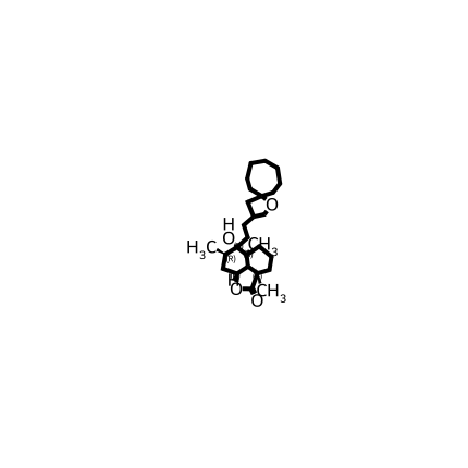 C[C@@H]1C[C@H]2OC(=O)[C@@]3(C)CCC[C@](C)(C23)[C@@]1(O)CCC1COC2(CCCCCCC2)C1